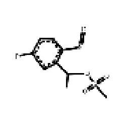 CC(OS(C)(=O)=O)c1cc(F)ccc1N=O